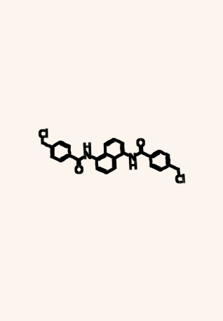 O=C(Nc1cccc2c(NC(=O)c3ccc(CCl)cc3)cccc12)c1ccc(CCl)cc1